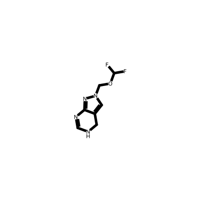 FC(F)OCn1cc2c(n1)N=CNC2